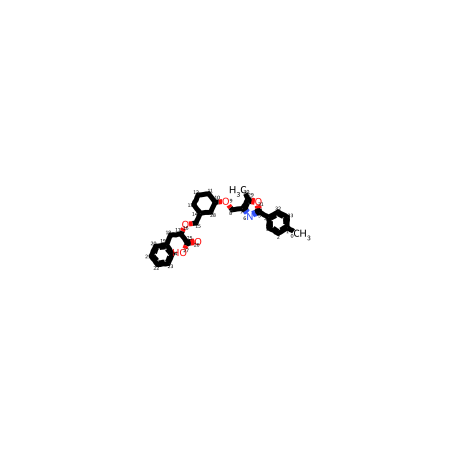 Cc1ccc(-c2nc(COC3CCCC(COC(Cc4ccccc4)C(=O)O)C3)c(C)o2)cc1